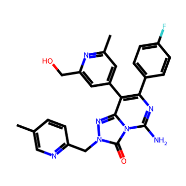 Cc1ccc(Cn2nc3c(-c4cc(C)nc(CO)c4)c(-c4ccc(F)cc4)nc(N)n3c2=O)nc1